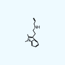 C=CCNCCc1c(C)n(C)c2ccccc12